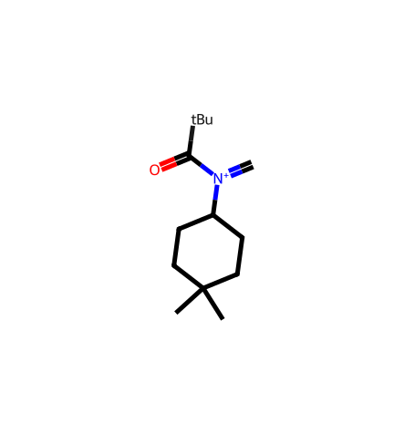 C=[N+](C(=O)C(C)(C)C)C1CCC(C)(C)CC1